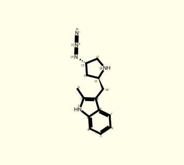 Cc1[nH]c2ccccc2c1C[C@H]1C[C@H](N=[N+]=[N-])CN1